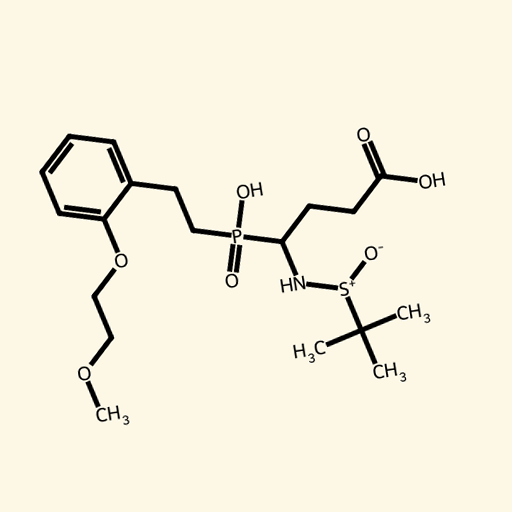 COCCOc1ccccc1CCP(=O)(O)C(CCC(=O)O)N[S+]([O-])C(C)(C)C